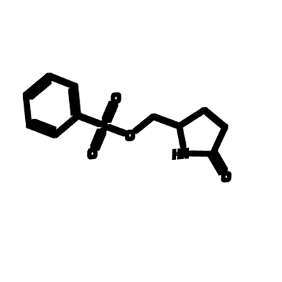 O=C1CCC(COS(=O)(=O)c2ccccc2)N1